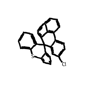 Clc1ccc2c(c1)C1(c3ccccc3Sc3ccccc31)c1cccc3cccc-2c13